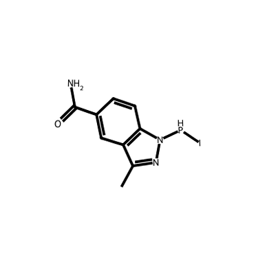 Cc1nn(PI)c2ccc(C(N)=O)cc12